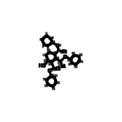 CCC(Oc1ccccc1)c1ccc(O)c(C(CC)Oc2ccccc2)c1C(CC)Oc1ccccc1